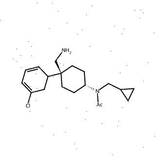 CC(=O)N(CC1CC1)[C@H]1CC[C@@](CN)(C2C=CC=C(Cl)C2)CC1